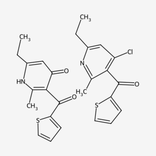 CCc1cc(=O)c(C(=O)c2cccs2)c(C)[nH]1.CCc1cc(Cl)c(C(=O)c2cccs2)c(C)n1